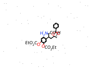 CCOC(=O)Oc1ccc(C(CC(C)OC(=O)c2ccccc2)[C@@H](N)C(=O)O)cc1OC(=O)OCC